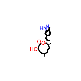 C/C(=C\c1ccc2cn[nH]c2c1)[C@H]1OC(=O)C[C@H](O)CC[C@H](C)C/C=C/[C@@H]1C